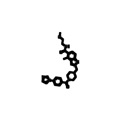 COCCNC(=O)c1ccc2nn(CC3CCN(C(=O)c4ccc(-n5ccnc5)cc4)CC3)cc2c1C